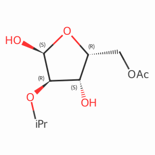 CC(=O)OC[C@H]1O[C@H](O)[C@H](OC(C)C)[C@H]1O